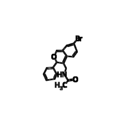 CC(=O)NCC1=c2ccc(Br)cc2=COC1c1ccccc1